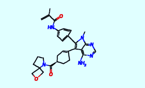 C=C(C)C(=O)Nc1ccc(-c2c(C3=CC[C@H](C(=O)N4CCCC45COC5)CC3)c3c(N)ncnc3n2C)cc1